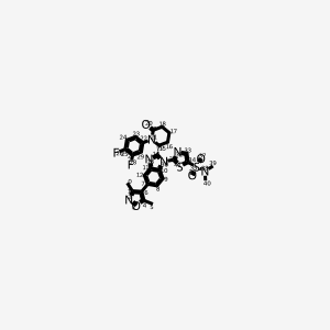 Cc1noc(C)c1-c1ccc2c(c1)nc([C@H]1CCCC(=O)N1c1ccc(F)c(F)c1)n2-c1ncc(S(=O)(=O)N(C)C)s1